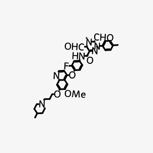 COc1cc2c(Oc3ccc(NC(=O)C4=NN(c5ccc(C)cc5)C(C=O)N(C)C4C=O)cc3F)ccnc2cc1OCCCN1CCC(C)CC1